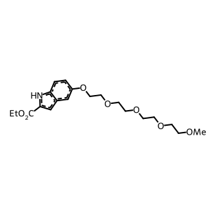 CCOC(=O)c1cc2cc(OCCOCCOCCOCCOC)ccc2[nH]1